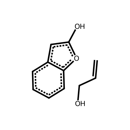 C=CCO.Oc1cc2ccccc2o1